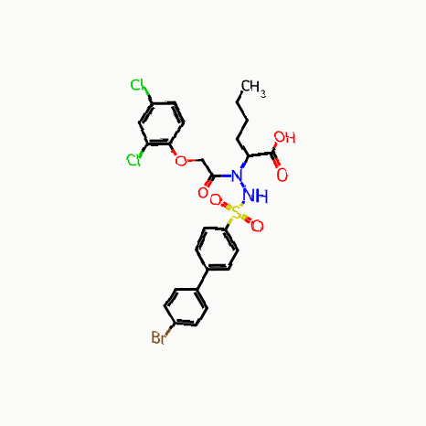 CCCCC(C(=O)O)N(NS(=O)(=O)c1ccc(-c2ccc(Br)cc2)cc1)C(=O)COc1ccc(Cl)cc1Cl